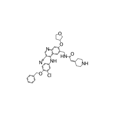 N#Cc1cnc2cc(OC3CCOC3)c(CNC(=O)C=C3CCNCC3)cc2c1Nc1ccc(OCc2ccccc2)c(Cl)c1